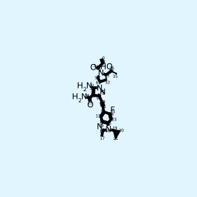 C=CC(=O)N1C[C@@H](n2nc(C#Cc3cc4nc(C)n(C5CC5)c4cc3F)c(C(N)=O)c2N)C[C@@H]1[C@H](C)O